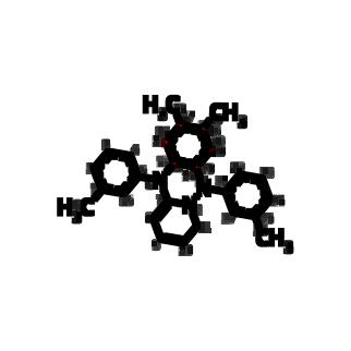 Cc1cccc(N(C2=CC=CCN2N(c2cccc(C)c2)c2cccc(C)c2)c2cccc(C)c2)c1